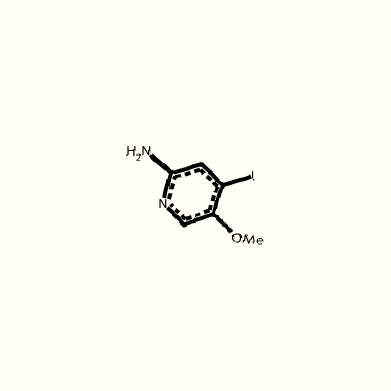 COc1cnc(N)cc1I